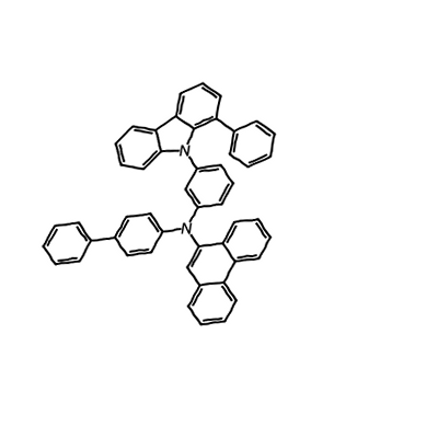 c1ccc(-c2ccc(N(c3cccc(-n4c5ccccc5c5cccc(-c6ccccc6)c54)c3)c3cc4ccccc4c4ccccc34)cc2)cc1